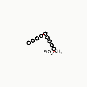 CCOC(C)=O.c1ccccc1.c1ccccc1.c1ccccc1.c1ccccc1.c1ccccc1.c1ccccc1.c1ccccc1.c1ccccc1.c1ccccc1